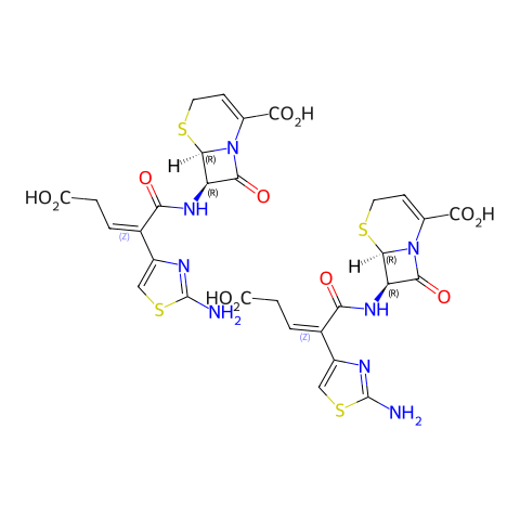 Nc1nc(/C(=C/CC(=O)O)C(=O)N[C@@H]2C(=O)N3C(C(=O)O)=CCS[C@H]23)cs1.Nc1nc(/C(=C/CC(=O)O)C(=O)N[C@@H]2C(=O)N3C(C(=O)O)=CCS[C@H]23)cs1